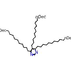 CCCCCCCCCCCCCCCCCCCCc1n[c]nc(CCCCCCCCCCCCCCCCCCCC)c1CCCCCCCCCCCCCCCCCCCC